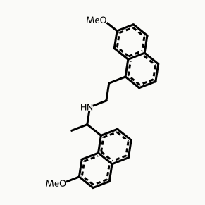 COc1ccc2cccc(CCNC(C)c3cccc4ccc(OC)cc34)c2c1